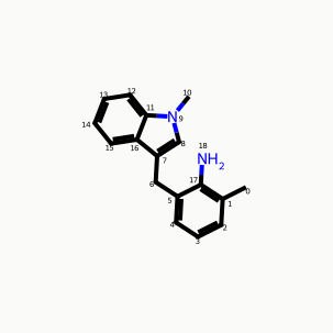 Cc1cccc(Cc2cn(C)c3ccccc23)c1N